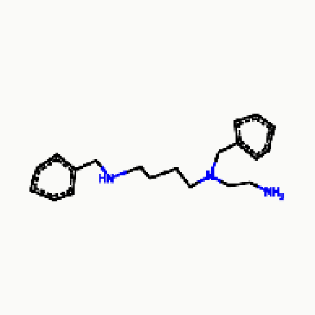 NCCN(CCCCNCc1ccccc1)Cc1ccccc1